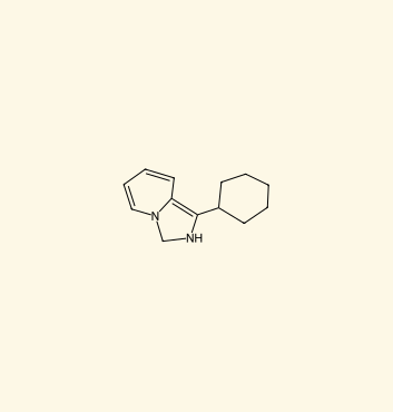 C1=CC2=C(C3CCCCC3)NCN2C=C1